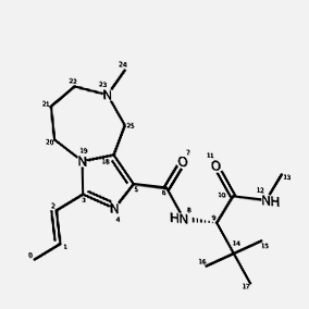 CC=Cc1nc(C(=O)N[C@H](C(=O)NC)C(C)(C)C)c2n1CCCN(C)C2